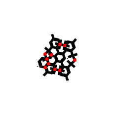 Cc1cc(C(C)(C)C)c(-c2[c]c(-c3c(C(C)(C)C)cc(C)cc3C(C)(C)C)c(-c3c(C(C)(C)C)cc(C)cc3C(C)(C)C)c(Sc3cc[c]cc3)c2-c2c(C(C)(C)C)cc(C)cc2C(C)(C)C)c(C(C)(C)C)c1